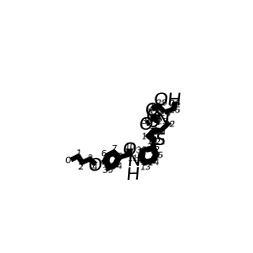 CCCCOc1ccc(C(=O)Nc2cccc(-c3cc4c(s3)CN(C(CC)C(=O)O)S4(=O)=O)c2)cc1